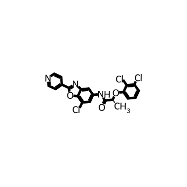 C[C@@H](Oc1cccc(Cl)c1Cl)C(=O)Nc1cc(Cl)c2oc(-c3ccncc3)nc2c1